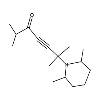 CC(C)C(=O)C#CC(C)(C)N1C(C)CCCC1C